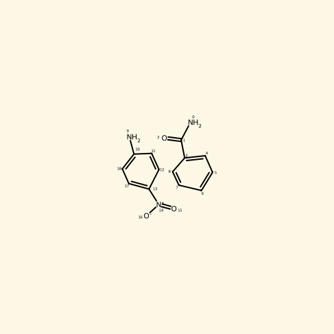 NC(=O)c1ccccc1.Nc1ccc([N+](=O)[O-])cc1